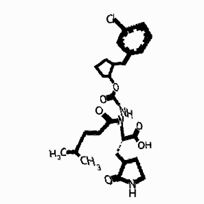 CC(C)CCC(=O)N(NC(=O)OC1CCCC1Cc1cccc(Cl)c1)[C@@H](CC1CCNC1=O)C(=O)O